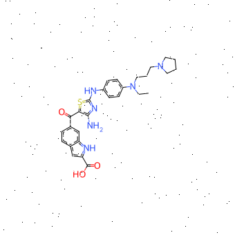 CCN(CCCN1CCCC1)c1ccc(Nc2nc(N)c(C(=O)c3ccc4cc(C(=O)O)[nH]c4c3)s2)cc1